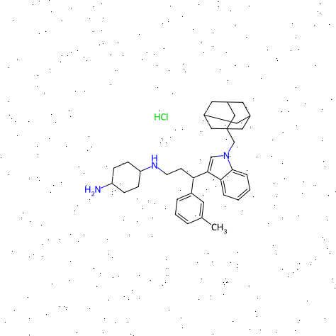 Cc1cccc(C(CCNC2CCC(N)CC2)c2cn(CC34CC5CC(CC(C5)C3)C4)c3ccccc23)c1.Cl